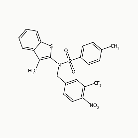 Cc1ccc(S(=O)(=O)N(Cc2ccc([N+](=O)[O-])c(C(F)(F)F)c2)c2sc3ccccc3c2C)cc1